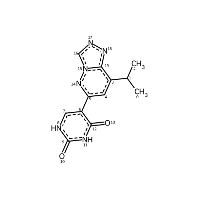 CC(C)c1cc(-c2c[nH]c(=O)[nH]c2=O)nn2cnnc12